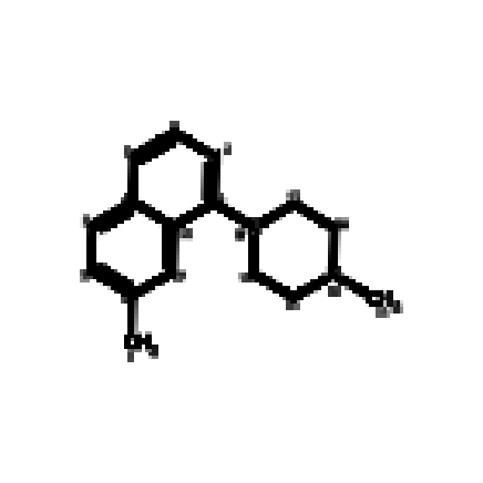 Cc1ccc2ccnc(N3CCN(C)CC3)c2c1